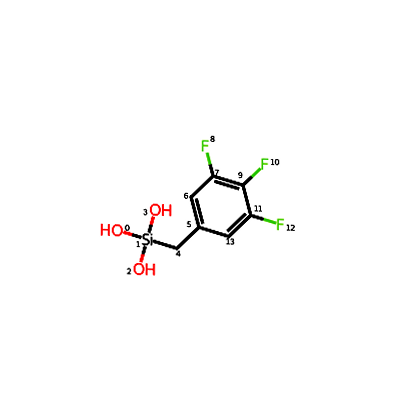 O[Si](O)(O)Cc1cc(F)c(F)c(F)c1